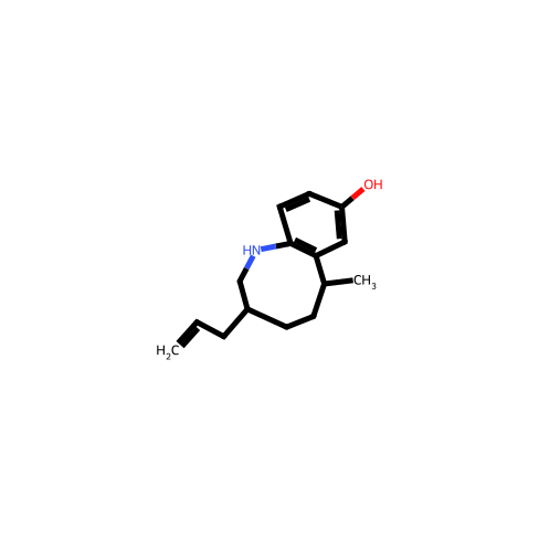 C=CCC1CCC(C)c2cc(O)ccc2NC1